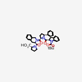 CC(C)(C)OC(=O)N1c2ccccc2C[C@@H]1C(=O)N1[C@@H](C(=O)N2Cc3ccccc3C[C@@H]2C(=O)N2CCC[C@H]2C(=O)O)CC[C@H]1c1ccccc1